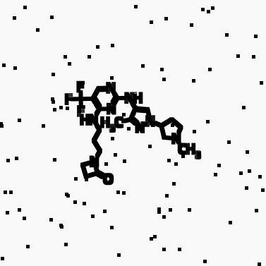 Cc1nn(C2CCN(C)C2)cc1Nc1ncc(C(F)(F)F)c(NCCCN2CCC2=O)n1